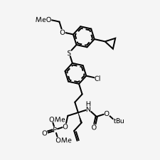 C=CC[C@](CCc1ccc(Sc2cc(C3CC3)ccc2OCOC)cc1Cl)(COP(=O)(OC)OC)NC(=O)OC(C)(C)C